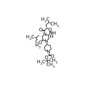 CC(C)C[C@H]1ON[C@H]2CN(C3CCN(C(=O)OC(C)(C)C)CC3)C(=O)[C@H](CC(C)C)N2C1=O